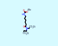 CCOC(=O)CCN(CC(=O)OCC)C(=O)CCCCCNC(=O)OC(C)(C)C